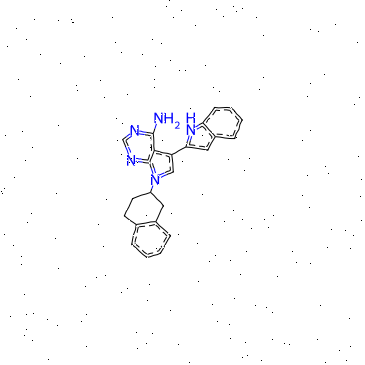 Nc1ncnc2c1c(-c1cc3ccccc3[nH]1)cn2C1CCc2ccccc2C1